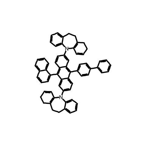 C1=CC2=C(CC1)CCc1ccccc1N2c1ccc2c(-c3cccc4ccccc34)c3cc(N4C5=C(CCC=C5)CCc5ccccc54)ccc3c(-c3ccc(-c4ccccc4)cc3)c2c1